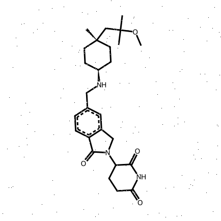 COC(C)(C)C[C@]1(C)CC[C@@H](NCc2ccc3c(c2)CN(C2CCC(=O)NC2=O)C3=O)CC1